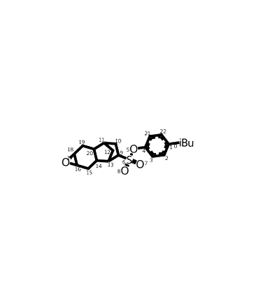 CCC(C)c1ccc(OS(=O)(=O)C2CC3CC2C2CC4OC4CC32)cc1